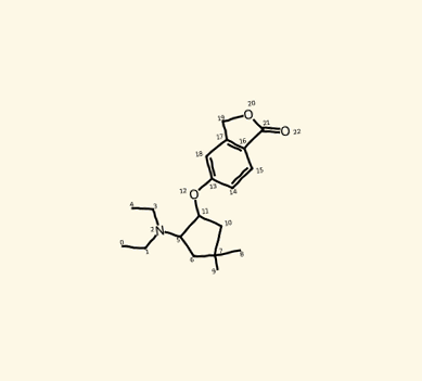 CCN(CC)C1CC(C)(C)CC1Oc1ccc2c(c1)COC2=O